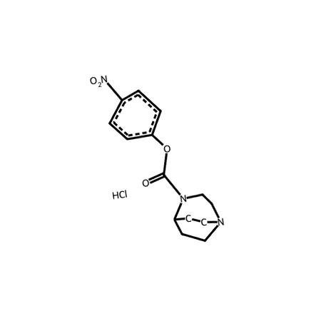 Cl.O=C(Oc1ccc([N+](=O)[O-])cc1)N1CCN2CCC1CC2